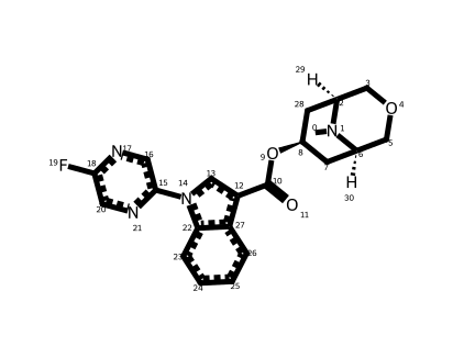 CN1[C@@H]2COC[C@H]1C[C@@H](OC(=O)c1cn(-c3cnc(F)cn3)c3ccccc13)C2